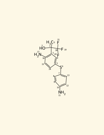 CC(O)(c1cc(Sc2ccc(N)cc2)ccc1N)C(F)(F)F